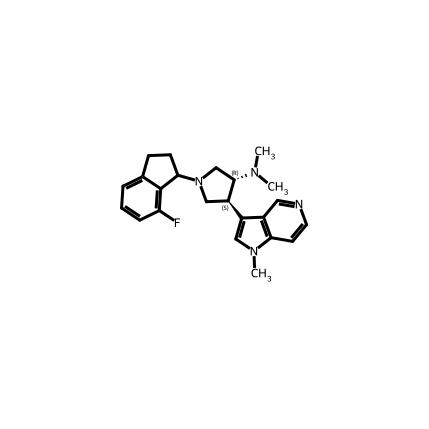 CN(C)[C@H]1CN(C2CCc3cccc(F)c32)C[C@@H]1c1cn(C)c2ccncc12